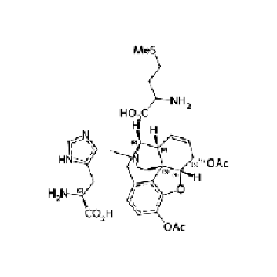 CC(=O)Oc1ccc2c3c1O[C@H]1[C@@H](OC(C)=O)C=C[C@H]4[C@@H](C2)N(C)CC[C@@]341.CSCCC(N)C(=O)O.N[C@@H](Cc1cnc[nH]1)C(=O)O